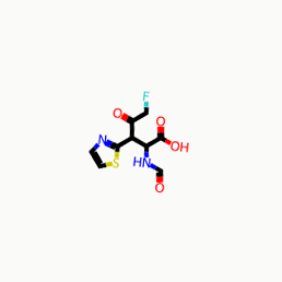 O=CNC(C(=O)O)C(C(=O)CF)c1nccs1